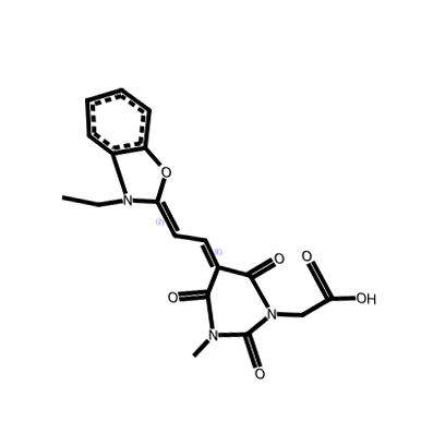 CCN1/C(=C/C=C2\C(=O)N(C)C(=O)N(CC(=O)O)C2=O)Oc2ccccc21